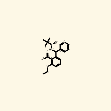 CCSc1cccc(C(N[S+]([O-])C(C)(C)C)c2cccnc2)c1C(=O)O